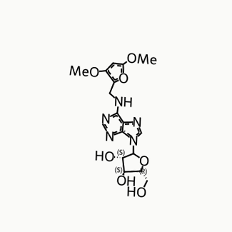 COc1cc(OC)c(CNc2ncnc3c2ncn3C2O[C@H](CO)[C@@H](O)[C@@H]2O)o1